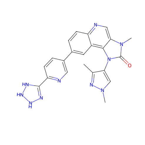 Cc1nn(C)cc1-n1c(=O)n(C)c2cnc3ccc(-c4ccc(C5=NNNN5)nc4)cc3c21